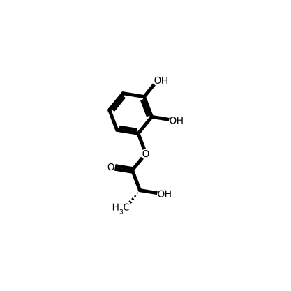 C[C@@H](O)C(=O)Oc1cccc(O)c1O